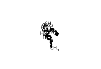 CCCCOc1ccc(C2(C(F)(F)F)CC(c3ccn(CC4CCC4)n3)=C(C(=O)NS(C)(=O)=O)C(=O)N2)cc1